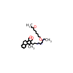 C\C=C(/C=C\C=C\CCc1c(C)c2c(c(C=O)c1C=O)CCc1ccccc1-2)OCCCCCCC(=O)CC